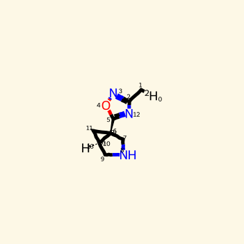 [2H]Cc1noc([C@@]23CNC[C@H]2C3)n1